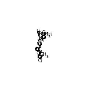 CCn1cncc1Cn1c(CN2CCC(Cc3cccc4c3O[C@](C)(c3ccc(Cl)cc3F)O4)CC2)nc2ccc(C(=O)O)cc21